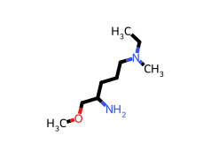 CCN(C)CCCC(N)COC